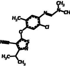 Cc1cc(N=CN(C)C)c(Cl)cc1Oc1snc(C(C)C)c1C#N